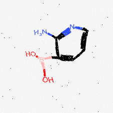 Nc1ncccc1B(O)O